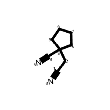 N#CCC1(C#N)CCCC1